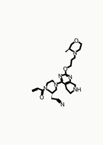 C=CC(=O)N1CCN(c2nc(OCCCN3CCOC[C@@H]3C)nc3c2CCNC3)C[C@@H]1CC#N